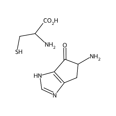 NC(CS)C(=O)O.NC1Cc2nc[nH]c2C1=O